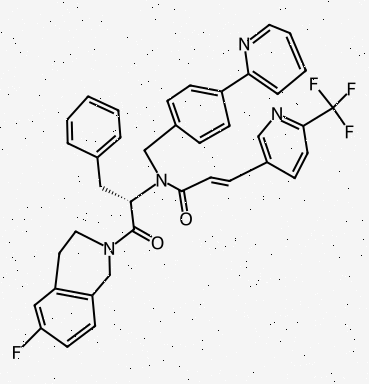 O=C([C@H](Cc1ccccc1)N(Cc1ccc(-c2ccccn2)cc1)C(=O)/C=C/c1ccc(C(F)(F)F)nc1)N1CCc2cc(F)ccc2C1